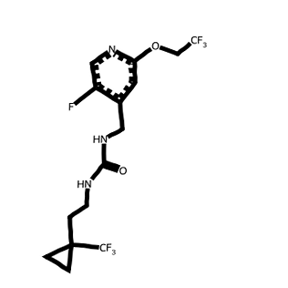 O=C(NCCC1(C(F)(F)F)CC1)NCc1cc(OCC(F)(F)F)ncc1F